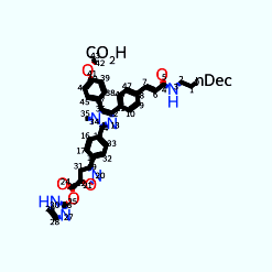 CCCCCCCCCCCCNC(=O)C=Cc1ccc(-c2nc(-c3ccc(C4=NOC(C(=O)Oc5ncc[nH]5)C4)cc3)n(C)c2-c2ccc(OCC(=O)O)cc2)cc1